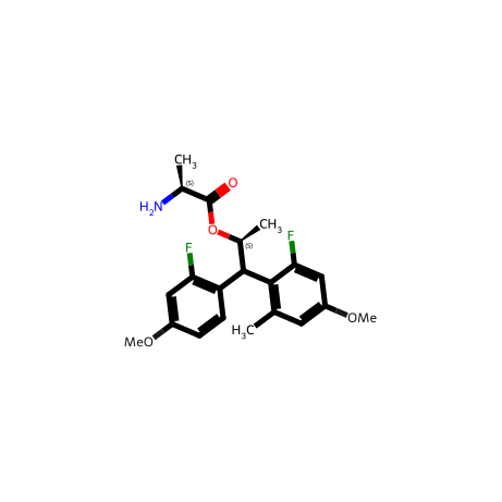 COc1ccc(C(c2c(C)cc(OC)cc2F)[C@H](C)OC(=O)[C@H](C)N)c(F)c1